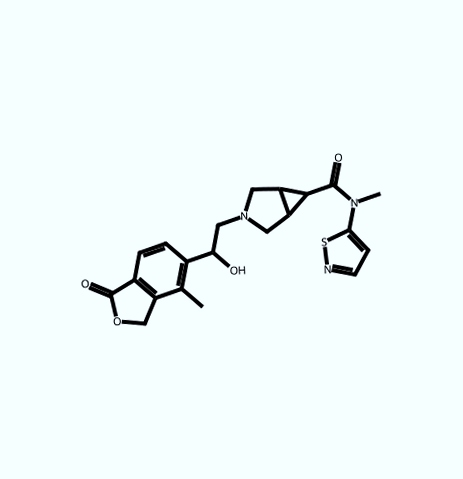 Cc1c(C(O)CN2CC3C(C2)C3C(=O)N(C)c2ccns2)ccc2c1COC2=O